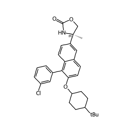 CC(C)(C)C1CCC(Oc2ccc3cc([C@]4(C)COC(=O)N4)ccc3c2-c2cccc(Cl)c2)CC1